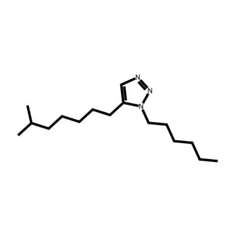 CCCCCCn1nncc1CCCCCC(C)C